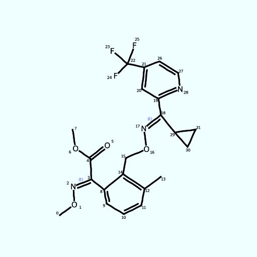 CO/N=C(/C(=O)OC)c1cccc(C)c1CO/N=C(/c1cc(C(F)(F)F)ccn1)C1CC1